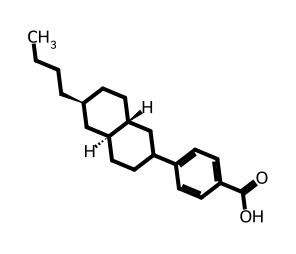 CCCC[C@H]1CC[C@@H]2CC(c3ccc(C(=O)O)cc3)CC[C@H]2C1